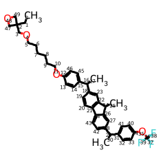 CCC1(COCCCCCCOc2ccc(C(C)c3ccc4c(c3)C(C)c3cc(C(C)c5ccc(OC(F)(F)F)cc5)ccc3-4)cc2)COC1